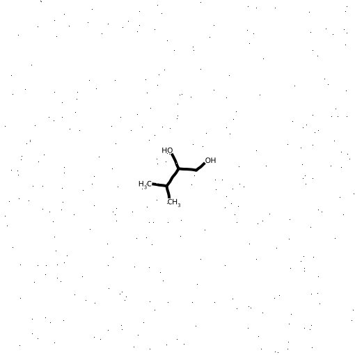 CC(C)[C](O)CO